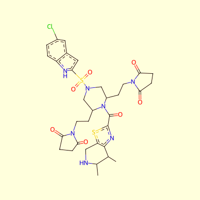 CC1NCc2sc(C(=O)N3C(CCN4C(=O)CCC4=O)CN(S(=O)(=O)c4cc5cc(Cl)ccc5[nH]4)CC3CCN3C(=O)CCC3=O)nc2C1C